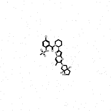 Cc1cn2nc([C@@H]3CCCCN3C(=O)c3cc(Cl)ccc3NS(C)(=O)=O)cc2nc1N1C[C@@H]2CCN[C@@H]2C1